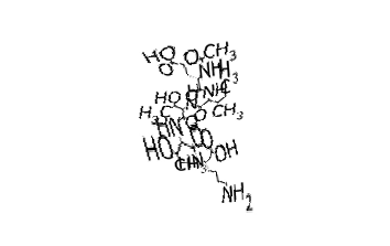 CC[C@H](C)[C@H](NC(=O)[C@H](CCC(=O)O)NC(C)=O)C(=O)N[C@H](C(=O)N[C@H](C(=O)N[C@@H](CCCCN)C(=O)O)[C@@H](C)O)[C@@H](C)O